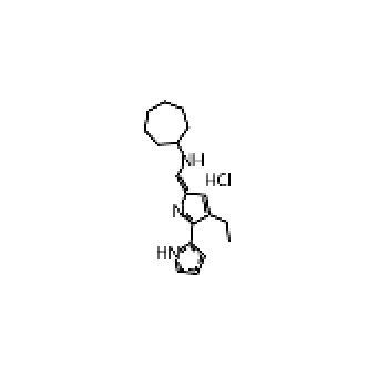 CCC1=CC(=CNC2CCCCCC2)N=C1c1ccc[nH]1.Cl